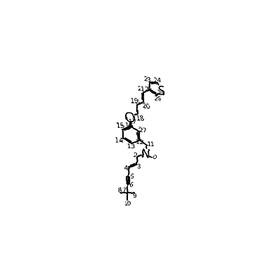 CN(CC=CC#CC(C)(C)C)Cc1cccc(OCCC=Cc2ccsc2)c1